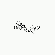 CCC(C)(CC(=O)O)NCCNC(C)(CC)C(=O)O